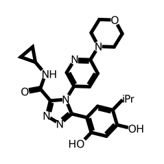 CC(C)c1cc(-c2nnc(C(=O)NC3CC3)n2-c2ccc(N3CCOCC3)nc2)c(O)cc1O